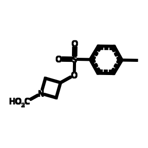 Cc1ccc(S(=O)(=O)OC2CN(C(=O)O)C2)cc1